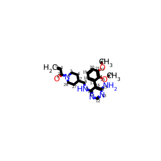 C=CC(=O)N1CCC(CNc2ncnc(N)c2-c2cccc(OC)c2OC)CC1